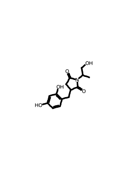 CC(CO)N1C(=O)CC(Cc2ccc(O)cc2O)C1=O